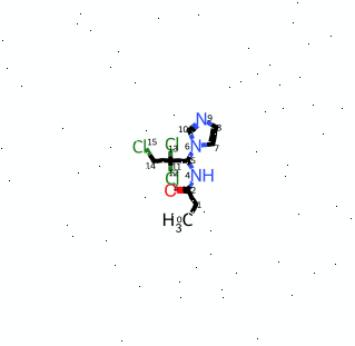 CCC(=O)NC(n1ccnc1)C(Cl)(Cl)CCl